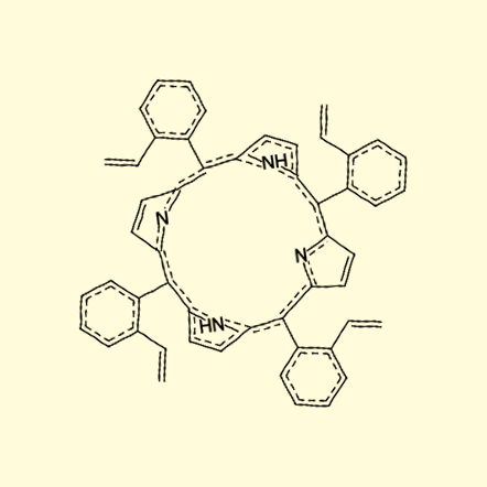 C=Cc1ccccc1-c1c2nc(c(-c3ccccc3C=C)c3ccc([nH]3)c(-c3ccccc3C=C)c3nc(c(-c4ccccc4C=C)c4ccc1[nH]4)C=C3)C=C2